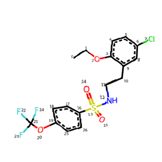 CCOc1ccc(Cl)cc1CCNS(=O)(=O)c1ccc(OC(F)(F)F)cc1